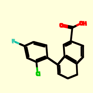 O=C(O)c1ccc2c(c1)C(c1ccc(F)cc1Cl)=CCC2